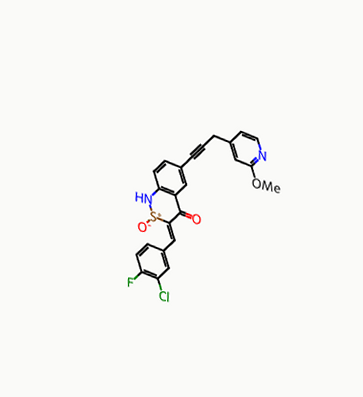 COc1cc(CC#Cc2ccc3c(c2)C(=O)/C(=C/c2ccc(F)c(Cl)c2)[S+]([O-])N3)ccn1